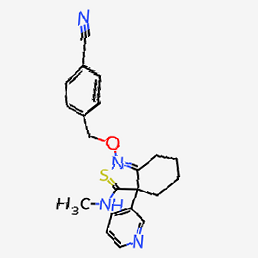 CNC(=S)C1(c2cccnc2)CCCCC1=NOCc1ccc(C#N)cc1